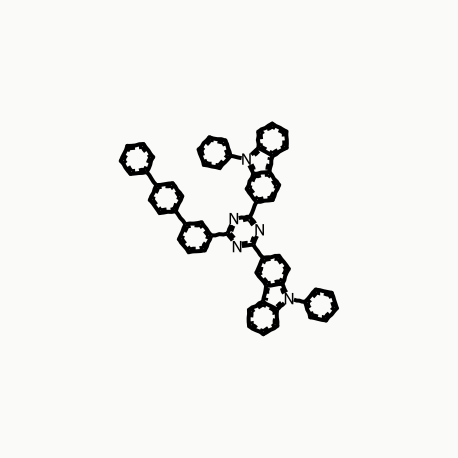 c1ccc(-c2ccc(-c3cccc(-c4nc(-c5ccc6c(c5)c5ccccc5n6-c5ccccc5)nc(-c5ccc6c7ccccc7n(-c7ccccc7)c6c5)n4)c3)cc2)cc1